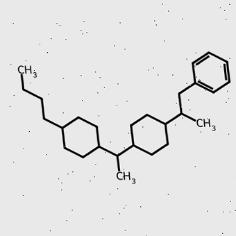 CCCCC1CCC(C(C)C2CCC(C(C)Cc3ccccc3)CC2)CC1